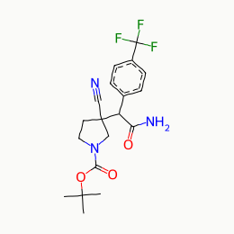 CC(C)(C)OC(=O)N1CCC(C#N)(C(C(N)=O)c2ccc(C(F)(F)F)cc2)C1